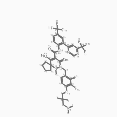 CN(C)CC(C)(C)COc1ccc(CN2C(=O)C(C(=O)Nc3ccc(C(F)(F)F)cc3-c3cc(C(F)(F)F)ncn3)=C(O)C3(CCCC3)N2C)c(F)c1F